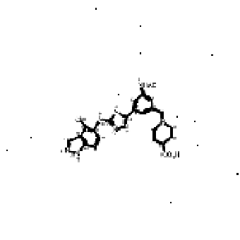 CC(=O)Nc1cc(CN2CCC(C(=O)O)CC2)cc(-c2nnc(Nc3ccc4[nH]ncc4c3Cl)s2)c1